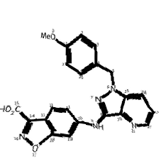 COc1ccc(Cn2nc(Nc3ccc4c(C(=O)O)noc4c3)c3ncccc32)cc1